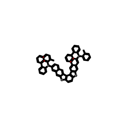 Cc1ccccc1N(c1ccc2cc3c(cc2c1)oc1ccc2oc4cc5cc(N(c6ccccc6C)c6ccccc6-c6ccccc6)ccc5cc4c2c13)c1ccccc1-c1ccccc1